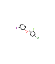 Fc1cc(Cl)ccc1COc1cccc(I)c1